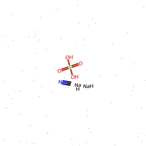 C#N.O=S(=O)(O)O.[NaH].[NaH]